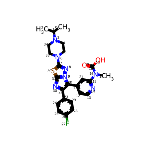 CC(C)N1CCN(c2nn3c(-c4ccnc(N(C)C(=O)O)c4)c(-c4ccc(F)cc4)nc3s2)CC1